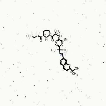 CC(C)[C@H](OC(=O)C(C)(C)/C=C/c1ccc2ccc([C@@H](C)O)nc2c1)C(=O)N[C@@H](C)C(=O)N1CCC[C@@H](C(=O)OCC(Cl)(Cl)Cl)N1